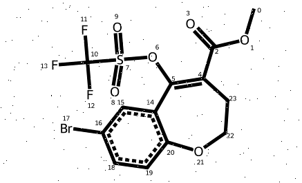 COC(=O)C1=C(OS(=O)(=O)C(F)(F)F)c2cc(Br)ccc2OCC1